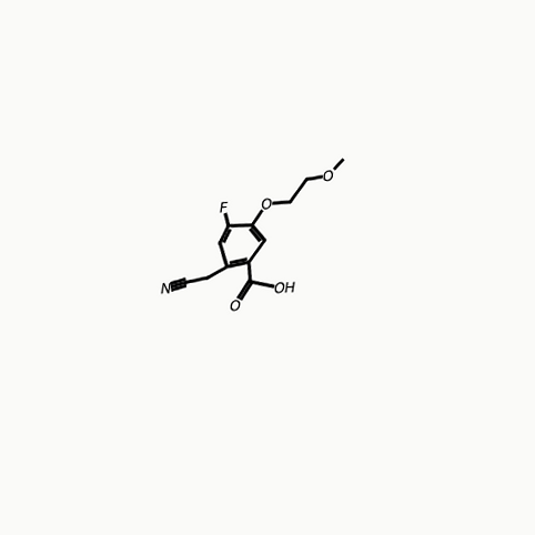 COCCOc1cc(C(=O)O)c(CC#N)cc1F